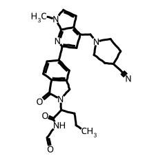 CCCC(C(=O)NC=O)N1Cc2cc(-c3cc(CN4CCC(C#N)CC4)c4ccn(C)c4n3)ccc2C1=O